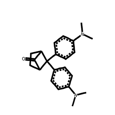 CN(C)c1ccc(C2(c3ccc(N(C)C)cc3)C3CCC2C3=O)cc1